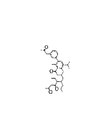 CCCC(CC1CC(=O)c2c(C)c(-c3cccc(CC(C)=O)c3)cc(C(C)C)c2C1)C(CC)C(=O)CC(C)=O